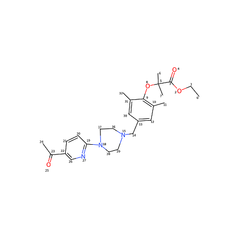 CCOC(=O)C(C)(C)Oc1c(C)cc(CN2CCN(c3ccc(C(C)=O)cn3)CC2)cc1C